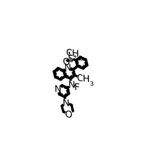 Cc1c(-c2ccccc2[S@+](C)[O-])nc2ccccc2c1N(F)c1cncc(N2CCOCC2)c1